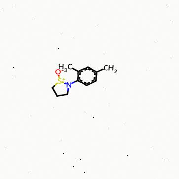 Cc1ccc(N2CCC[S+]2[O-])c(C)c1